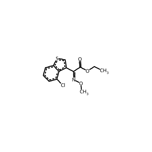 CCOC(=O)C(=NOC)c1csc2cccc(Cl)c12